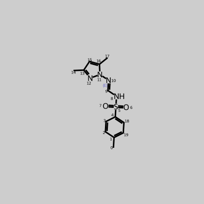 Cc1ccc(S(=O)(=O)N/C=N/n2nc(C)cc2C)cc1